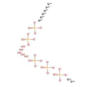 O=P([O-])([O-])[O-].O=P([O-])([O-])[O-].O=P([O-])([O-])[O-].O=P([O-])([O-])[O-].O=P([O-])([O-])[O-].[Al+3].[Al+3].[Al+3].[Al+3].[OH-].[OH-].[OH-].[OH-].[OH-].[Sr+2].[Sr+2].[Sr+2].[Sr+2]